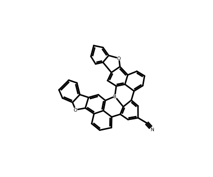 N#Cc1cc2c3c(c1)-c1cccc4c1c(cc1c5ccccc5oc41)B3c1cc3c4ccccc4oc3c3cccc-2c13